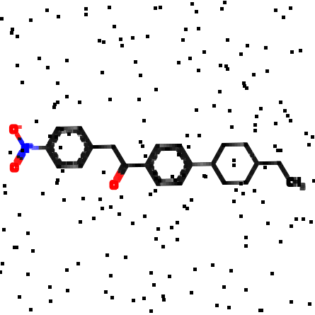 CCC1CCC(c2ccc(C(=O)Cc3ccc([N+](=O)[O-])cc3)cc2)CC1